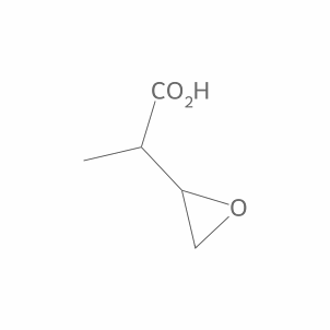 CC(C(=O)O)C1CO1